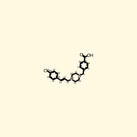 O=C(O)c1ccc(CN2CCN(CC=Cc3ccc(Cl)cc3)CC2)cc1